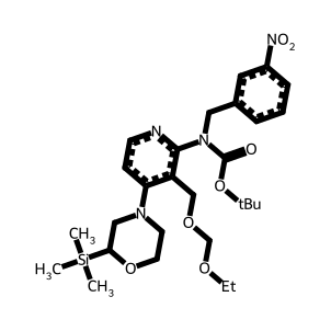 CCOCOCc1c(N2CCOC([Si](C)(C)C)C2)ccnc1N(Cc1cccc([N+](=O)[O-])c1)C(=O)OC(C)(C)C